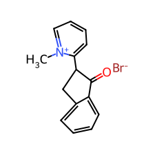 C[n+]1ccccc1C1Cc2ccccc2C1=O.[Br-]